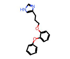 c1ccc(Oc2ccccc2OCCCc2c[nH]cn2)cc1